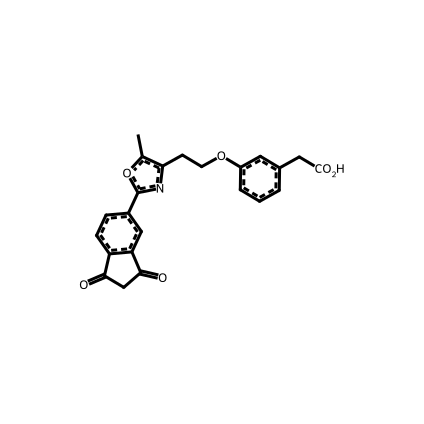 Cc1oc(-c2ccc3c(c2)C(=O)CC3=O)nc1CCOc1cccc(CC(=O)O)c1